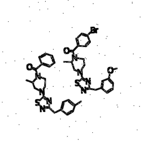 COc1cccc(Cc2nsc(N3CCN(C(=O)c4ccc(Br)cc4)C(C)C3)n2)c1.Cc1ccc(Cc2nsc(N3CCN(C(=O)c4ccccc4)C(C)C3)n2)cc1